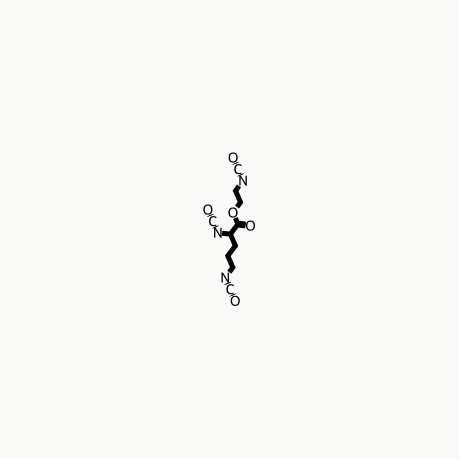 O=C=NCCCC(N=C=O)C(=O)OCCN=C=O